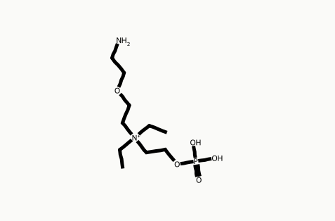 CC[N+](CC)(CCOCCN)CCOP(=O)(O)O